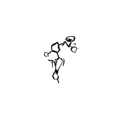 Cc1ccc2c(c1)nc(-c1cc([N+](=O)[O-])ccc1Cl)n2C